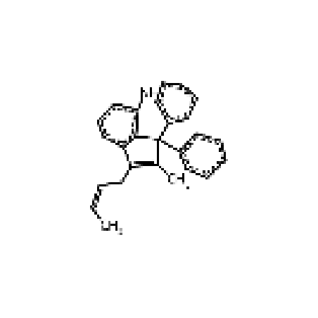 C/C=C\CC1=C(C)C(c2ccccc2)(c2ccccc2)c2c(N)cccc21